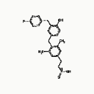 Cc1cc(CC[PH](=O)O)cc(C)c1Cc1ccc(O)c(Cc2ccc(F)cc2)c1